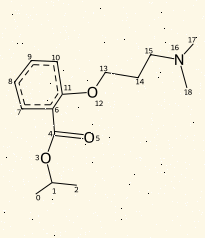 CC(C)OC(=O)c1ccccc1OCCCN(C)C